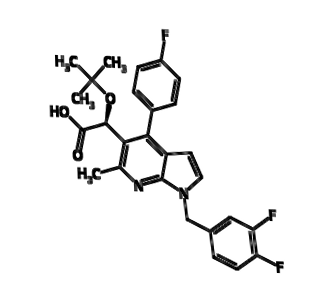 Cc1nc2c(ccn2Cc2ccc(F)c(F)c2)c(-c2ccc(F)cc2)c1[C@H](OC(C)(C)C)C(=O)O